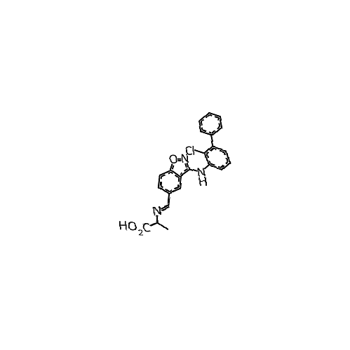 CC(N=Cc1ccc2onc(Nc3cccc(-c4ccccc4)c3Cl)c2c1)C(=O)O